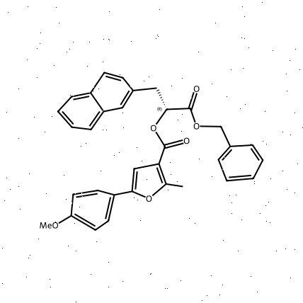 COc1ccc(-c2cc(C(=O)O[C@H](Cc3ccc4ccccc4c3)C(=O)OCc3ccccc3)c(C)o2)cc1